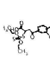 CCOP(=S)(OCC)SC(CC(=O)c1ccc(Cl)c(Cl)c1)C(=O)O